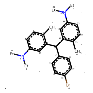 CCN(CC)c1ccc(C)c(C(c2ccc(Br)cc2)c2cc(N(CC)CC)ccc2C)c1